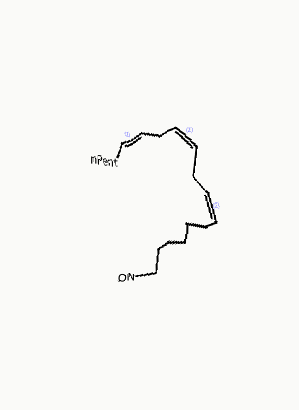 CCCCC/C=C\C/C=C\C/C=C\CCCCN=O